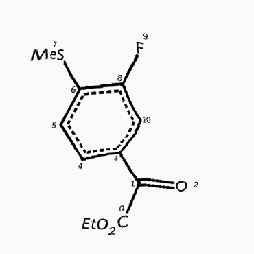 CCOC(=O)C(=O)c1ccc(SC)c(F)c1